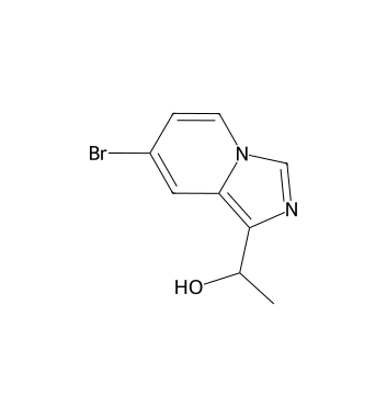 CC(O)c1ncn2ccc(Br)cc12